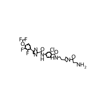 Cn1c(-c2ccc(OC(F)F)c(F)c2F)cnc1C(=O)Nc1ccc(C(=O)NCCC2CN(C(=O)CCN)C2)c(Cl)c1